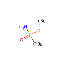 CCCCOP(N)(=O)OCC(C)C